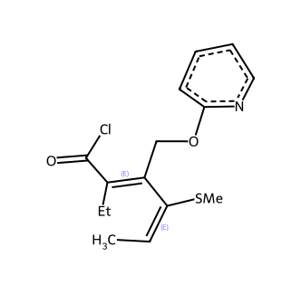 C/C=C(SC)\C(COc1ccccn1)=C(/CC)C(=O)Cl